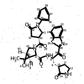 CC1(C)[C@@H]2[C@@H](C(=O)N[C@@H](C[C@@H]3CCNC3=O)C(=O)c3nc4ccccc4s3)N(C(=O)[C@@H]3CC(=O)N(c4ccccc4)C3)C[C@@H]21